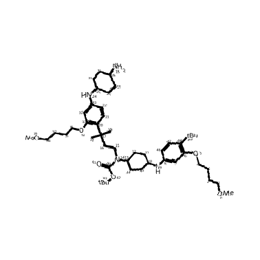 COCCCCOc1cc(NC2CCC(N(CCC(C)(C)c3ccc(NC4CCC(N)CC4)cc3OCCCCOC)C(=O)OC(C)(C)C)CC2)ccc1C(C)(C)C